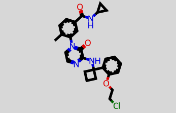 Cc1ccc(C(=O)NC2CC2)cc1-n1ccnc(NC2(c3ccccc3OCCCl)CCC2)c1=O